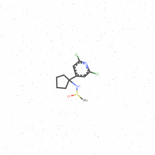 CC(C)(C)[S+]([O-])NC1(c2cc(Cl)nc(Cl)c2)CCCC1